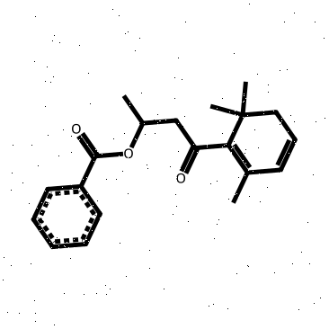 CC1=C(C(=O)CC(C)OC(=O)c2ccccc2)C(C)(C)CC=C1